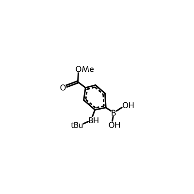 COC(=O)c1ccc(B(O)O)c(BC(C)(C)C)c1